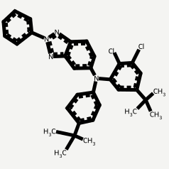 CC(C)(C)c1ccc(N(c2ccc3nn(-c4ccccc4)nc3c2)c2cc(C(C)(C)C)cc(Cl)c2Cl)cc1